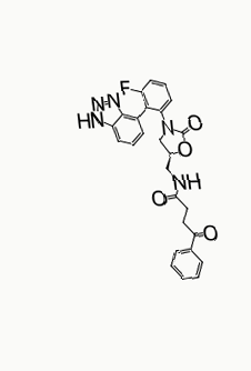 O=C(CCC(=O)c1ccccc1)NC[C@H]1CN(c2cccc(F)c2-c2cccc3[nH]nnc23)C(=O)O1